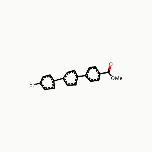 CCc1ccc(-c2ccc(-c3ccc(C(=O)OC)cc3)cc2)cc1